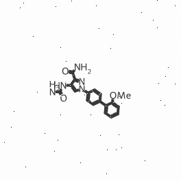 COc1ccccc1-c1ccc(-n2cc(NC(N)=O)c(C(N)=O)n2)cc1